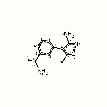 Cc1onc(N)c1-c1cccc([C@H](C)N)c1